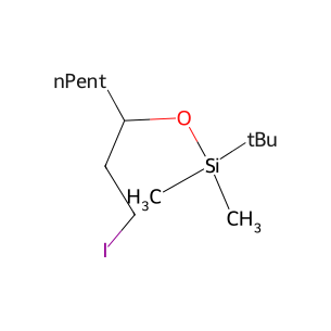 CCCCCC(CCI)O[Si](C)(C)C(C)(C)C